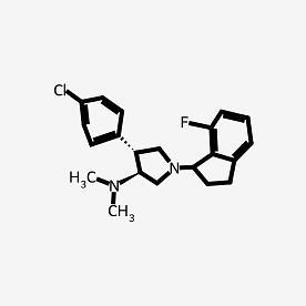 CN(C)[C@@H]1CN(C2CCc3cccc(F)c32)C[C@H]1c1ccc(Cl)cc1